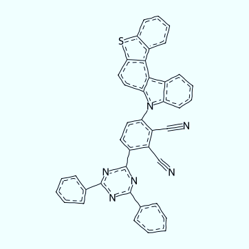 N#Cc1c(-c2nc(-c3ccccc3)nc(-c3ccccc3)n2)ccc(-n2c3ccccc3c3c4c(ccc32)sc2ccccc24)c1C#N